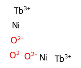 [Ni].[Ni].[O-2].[O-2].[O-2].[Tb+3].[Tb+3]